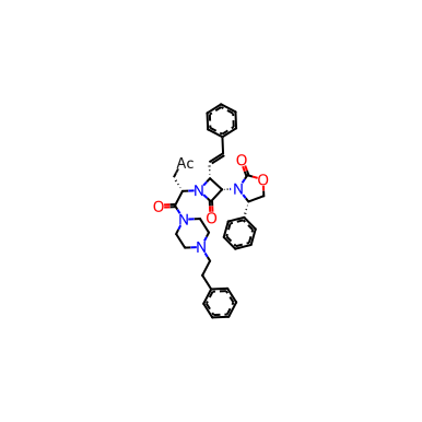 CC(=O)C[C@@H](C(=O)N1CCN(CCc2ccccc2)CC1)N1C(=O)[C@@H](N2C(=O)OC[C@@H]2c2ccccc2)[C@H]1/C=C/c1ccccc1